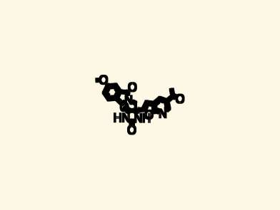 COc1ccc2c(c1)C(=O)N(C[C@@]1(c3cc4cc(C(C)=O)cnc4o3)NC(=O)NC1=O)C2